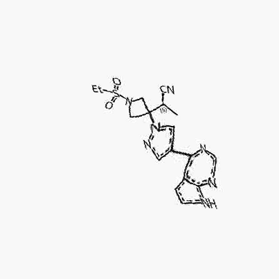 CCS(=O)(=O)N1CC([C@H](C)C#N)(n2cc(-c3ncnc4[nH]ccc34)cn2)C1